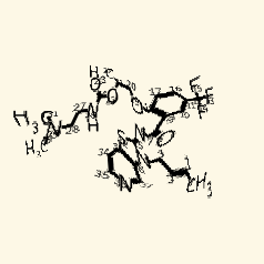 CCCCn1c(=NC(=O)c2cc(C(F)(F)F)ccc2OC[C@H](C)OC(=O)NCCN(C)C)sc2ccncc21